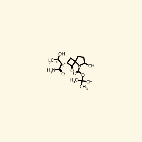 CC1CCC2(CC([C@H](C(N)=O)[C@@H](C)O)C2=O)N1C(=O)OC(C)(C)C